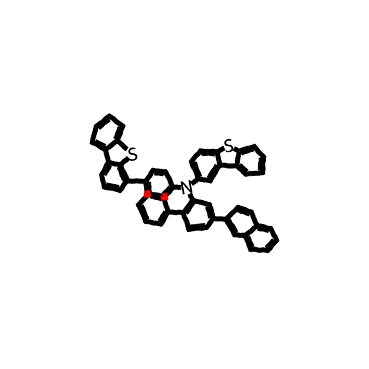 c1ccc(-c2ccc(-c3ccc4ccccc4c3)cc2N(c2ccc(-c3cccc4c3sc3ccccc34)cc2)c2ccc3sc4ccccc4c3c2)cc1